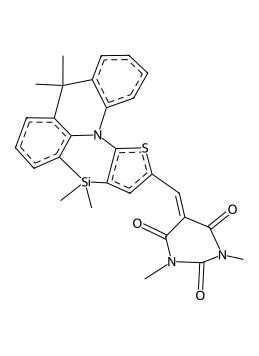 CN1C(=O)C(=Cc2cc3c(s2)N2c4ccccc4C(C)(C)c4cccc(c42)[Si]3(C)C)C(=O)N(C)C1=O